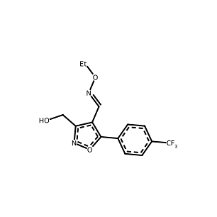 CCO/N=C/c1c(CO)noc1-c1ccc(C(F)(F)F)cc1